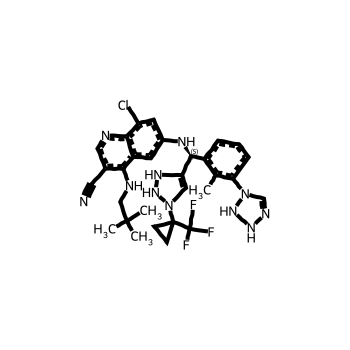 Cc1c([C@H](Nc2cc(Cl)c3ncc(C#N)c(NCC(C)(C)C)c3c2)C2=CN(C3(C(F)(F)F)CC3)NN2)cccc1N1C=NNN1